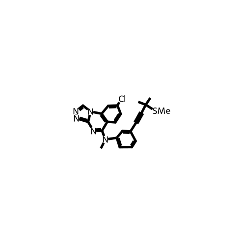 CSC(C)(C)C#Cc1cccc(N(C)c2nc3nncn3c3cc(Cl)ccc23)c1